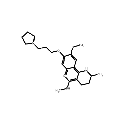 CNc1nc2cc(OCCCN3CCCC3)c(OC)cc2c2c1CCC(C)N2